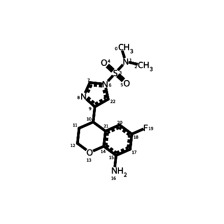 CN(C)S(=O)(=O)n1cnc(C2CCOc3c(N)cc(F)cc32)c1